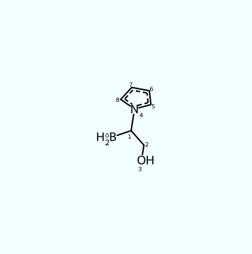 BC(CO)n1cccc1